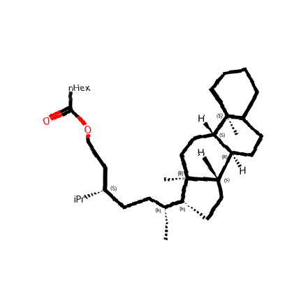 CCCCCCC(=O)OCC[C@H](CC[C@@H](C)[C@H]1CC[C@H]2[C@@H]3CCC4CCCC[C@]4(C)[C@H]3CC[C@]12C)C(C)C